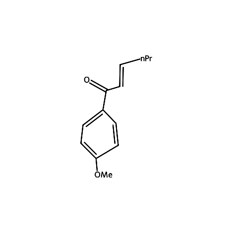 CCC/C=C/C(=O)c1ccc(OC)cc1